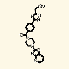 CC(C)(C)Cc1nc(-c2ccc(C(=O)N3CCN(c4nc5ncccc5o4)CC3)cc2)no1